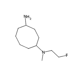 CN(CCF)C1CCCCC(N)CC1